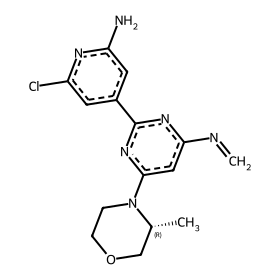 C=Nc1cc(N2CCOC[C@H]2C)nc(-c2cc(N)nc(Cl)c2)n1